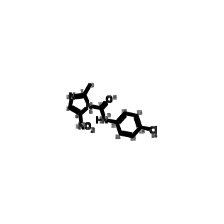 Cc1ncc([N+](=O)[O-])n1C(=O)Nc1ccc(Cl)cc1